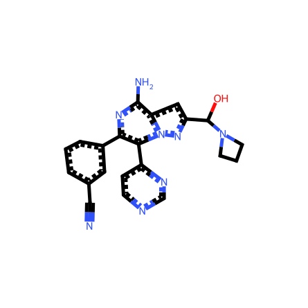 N#Cc1cccc(-c2nc(N)c3cc(C(O)N4CCC4)nn3c2-c2ccncn2)c1